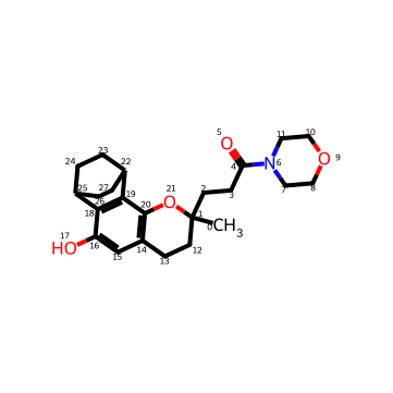 CC1(CCC(=O)N2CCOCC2)CCc2cc(O)c3c(c2O1)C1CCC3CC1